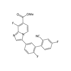 COC(=O)c1ccn2c(-c3ccc(F)c(-c4ccc(F)cc4C#N)c3)cnc2c1F